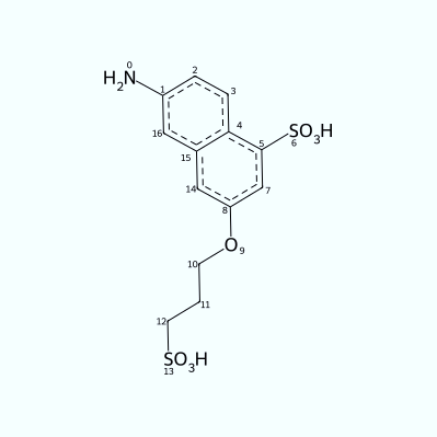 Nc1ccc2c(S(=O)(=O)O)cc(OCCCS(=O)(=O)O)cc2c1